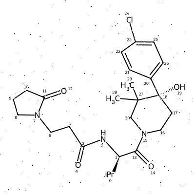 CC(C)[C@@H](NC(=O)CCN1CCCC1=O)C(=O)N1CC[C@](O)(c2ccc(Cl)cc2)C(C)(C)C1